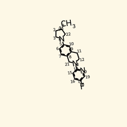 C[C@H]1CCN(c2ccc3c(c2)CCN(c2ccc(F)cn2)C3)C1